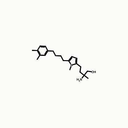 Cc1ccc(CCCCc2ccc(CCC(C)(N)CO)n2C)cc1C